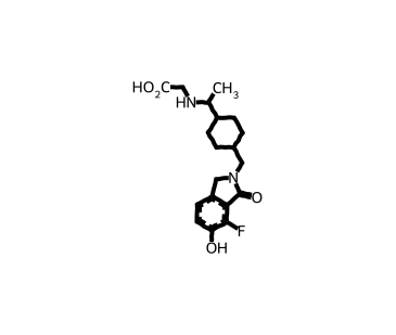 CC(NCC(=O)O)C1CCC(CN2Cc3ccc(O)c(F)c3C2=O)CC1